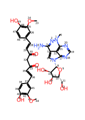 CN1N=C(N)c2cn([C@@H]3O[C@H](CO)[C@@H](O)[C@H]3O)c3ncnc1c23.COc1cc(/C=C/C(=O)CC(=O)/C=C/c2ccc(O)c(OC)c2)ccc1O